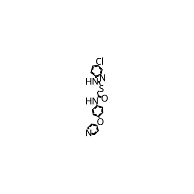 O=C(CSc1nc2cc(Cl)ccc2[nH]1)Nc1ccc(Oc2ccncc2)cc1